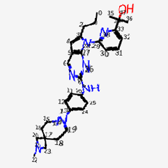 CCCc1cc2cnc(Nc3ccc(N4CCC5(CC4)CN(C)C5)cc3)nc2n1-c1cccc(C(C)(C)O)n1